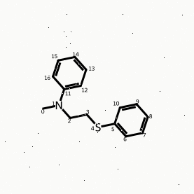 CN(CCSc1ccccc1)c1ccccc1